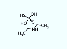 CCNCC.OP(O)(=S)S